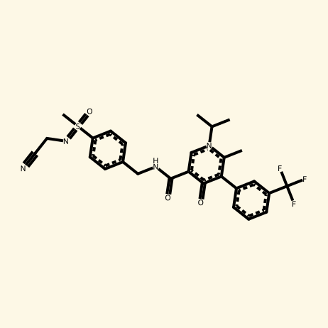 Cc1c(-c2cccc(C(F)(F)F)c2)c(=O)c(C(=O)NCc2ccc(S(C)(=O)=NCC#N)cc2)cn1C(C)C